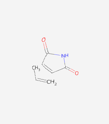 C=CC.O=C1C=CC(=O)N1